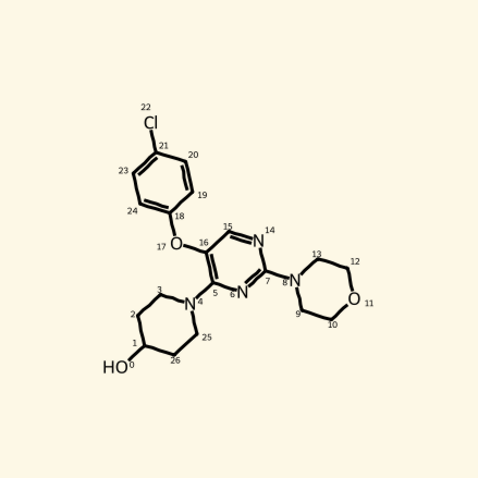 OC1CCN(c2nc(N3CCOCC3)ncc2Oc2ccc(Cl)cc2)CC1